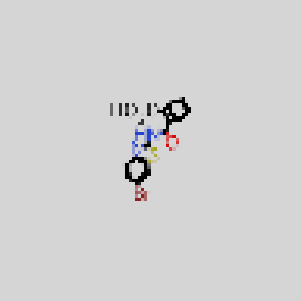 O=C(O)C1C2C=CC(C2)C1C(=O)Nc1nc2ccc(Br)cc2s1